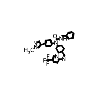 Cn1cc(-c2ccc(N(C(=O)NCc3ccccc3)C3CCC(/C=N\c4ccc(C(F)(F)F)cn4)CC3)cc2)cn1